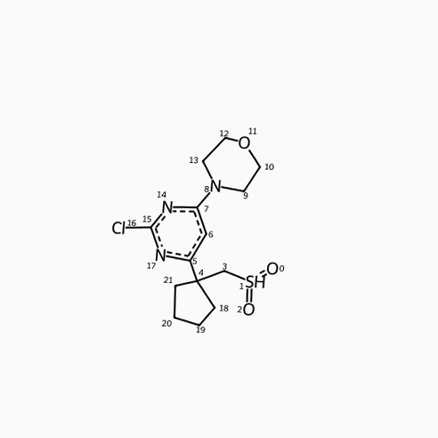 O=[SH](=O)CC1(c2cc(N3CCOCC3)nc(Cl)n2)CCCC1